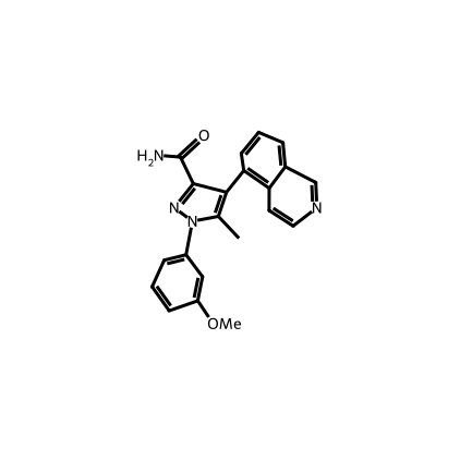 COc1cccc(-n2nc(C(N)=O)c(-c3cccc4cnccc34)c2C)c1